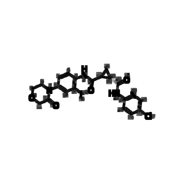 O=C(Nc1ccc(N2CCOCC2=O)cc1F)C1C[C@@H]1C(=O)Nc1ccc(Cl)cn1